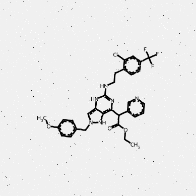 CCOC(=O)C(C1=C2NN(Cc3ccc(OC)cc3)C=C2NC(NCCc2ccc(C(F)(F)F)cc2Cl)=N1)c1cccnc1